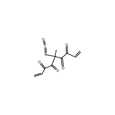 C=CC(=O)C(=O)C(C)(N=C=O)C(=O)C(=O)C=C